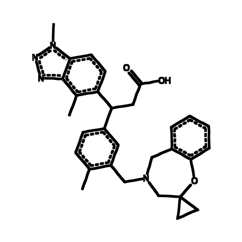 Cc1ccc(C(CC(=O)O)c2ccc3c(nnn3C)c2C)cc1CN1Cc2ccccc2OC2(CC2)C1